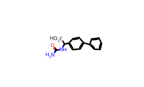 NC(=O)NC(C(=O)O)c1ccc(-c2ccccc2)cc1